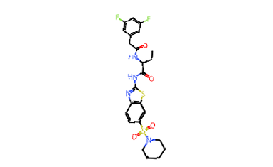 CCC(NC(=O)Cc1cc(F)cc(F)c1)C(=O)Nc1nc2ccc(S(=O)(=O)N3CCCCC3)cc2s1